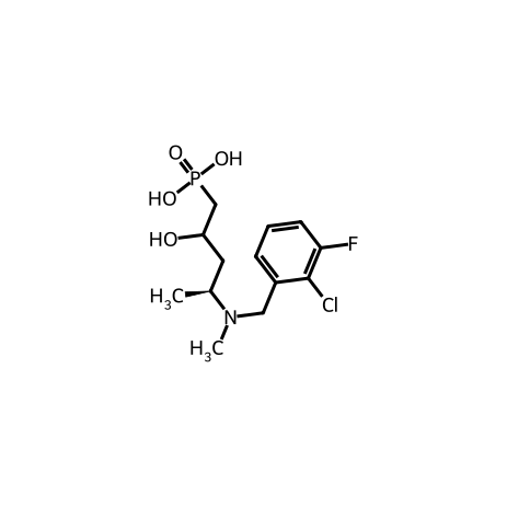 C[C@@H](CC(O)CP(=O)(O)O)N(C)Cc1cccc(F)c1Cl